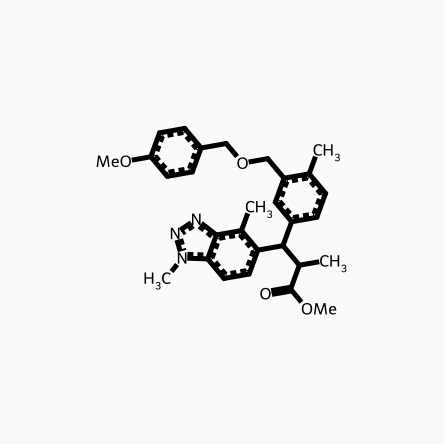 COC(=O)C(C)C(c1ccc(C)c(COCc2ccc(OC)cc2)c1)c1ccc2c(nnn2C)c1C